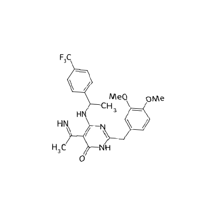 COc1ccc(Cc2nc(NC(C)c3ccc(C(F)(F)F)cc3)c(C(C)=N)c(=O)[nH]2)cc1OC